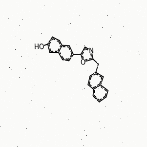 Oc1ccc2cc(-c3cnc(Cc4ccc5ccccc5c4)o3)ccc2c1